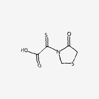 O=C(O)C(=S)N1CSCC1=O